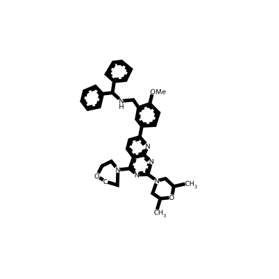 COc1ccc(-c2ccc3c(N4CCOCC4)nc(N4CC(C)OC(C)C4)nc3n2)cc1CNC(c1ccccc1)c1ccccc1